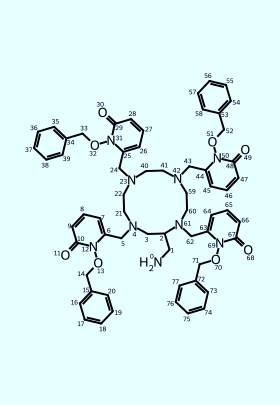 NCC1CN(Cc2cccc(=O)n2OCc2ccccc2)CCN(Cc2cccc(=O)n2OCc2ccccc2)CCN(Cc2cccc(=O)n2OCc2ccccc2)CCN1Cc1cccc(=O)n1OCc1ccccc1